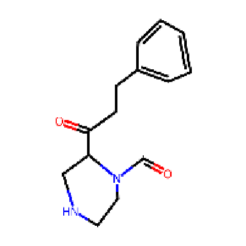 O=[C]N1CCNCC1C(=O)CCc1ccccc1